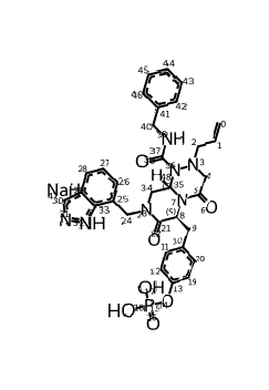 C=CCN1CC(=O)N2[C@@H](Cc3ccc(OP(=O)(O)O)cc3)C(=O)N(Cc3cccc4cn[nH]c34)C[C@@H]2N1C(=O)NCc1ccccc1.[NaH]